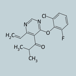 C=Cc1ncnc(Oc2c(F)cccc2Cl)c1C(=O)C(C)C